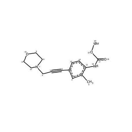 Cc1cc(C#CCN2CCOCC2)ccc1NC(=O)OC(C)(C)C